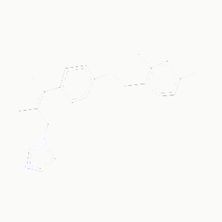 CC(Cn1ccnc1)=C(C)c1ccc(SCc2ccc(Cl)cc2Cl)cc1